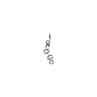 CC#CCON=Cc1ccc(-c2ccc(Cl)s2)s1